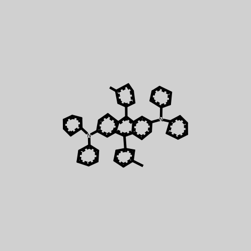 Cc1cccc(-c2c3ccc(N(c4ccccc4)c4ccccc4)cc3c(-c3cccc(C)c3)c3ccc(N(c4ccccc4)c4ccccc4)cc23)c1